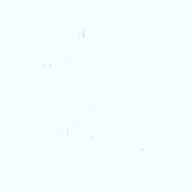 CC(C)C(CC(=O)O)c1ccc(Cl)cc1Cl